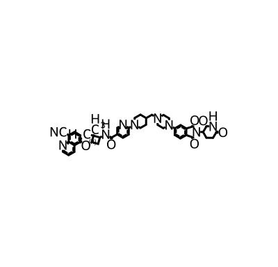 CC1(C)C(NC(=O)c2ccc(N3CCC(CN4CCN(c5ccc6c(c5)C(=O)N(C5CCC(=O)NC5=O)C6=O)CC4)CC3)nc2)C[C@H]1Oc1ccc(C#N)c2ncccc12